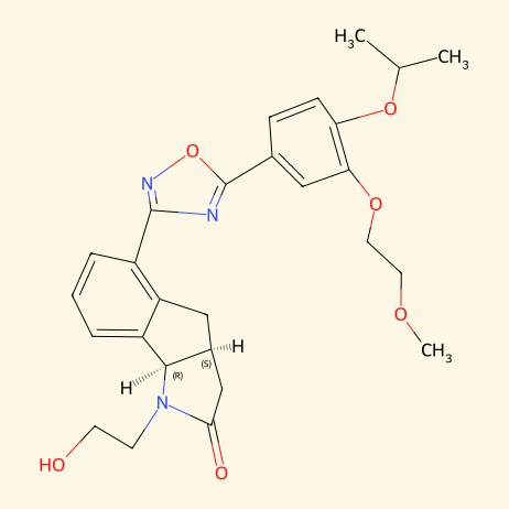 COCCOc1cc(-c2nc(-c3cccc4c3C[C@H]3CC(=O)N(CCO)[C@@H]43)no2)ccc1OC(C)C